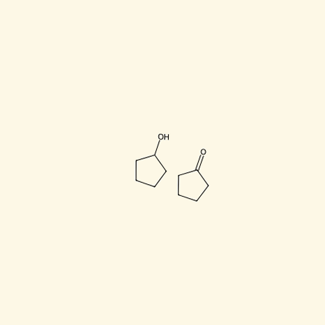 O=C1CCCC1.OC1CCCC1